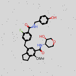 COc1c(C(=O)N[C@H]2CCOC[C@@H]2O)cc(Cc2ccc(C(=O)NCc3ccc(O)cc3)c(F)c2)c2c1CCC2